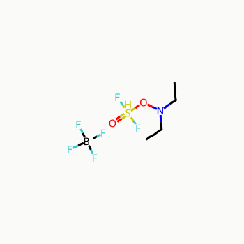 CCN(CC)O[SH](=O)(F)F.F[B-](F)(F)F